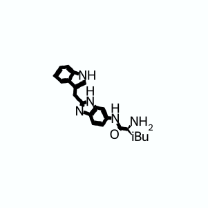 CC[C@H](C)[C@H](N)C(=O)Nc1ccc2nc(Cc3c[nH]c4ccccc34)[nH]c2c1